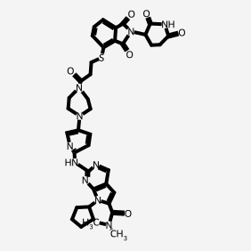 CN(C)C(=O)c1cc2cnc(Nc3ccc(N4CCN(C(=O)CCSc5cccc6c5C(=O)N(C5CCC(=O)NC5=O)C6=O)CC4)cn3)nc2n1C1CCCC1